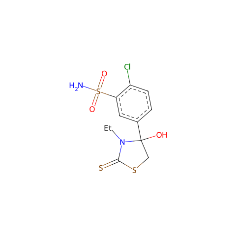 CCN1C(=S)SCC1(O)c1ccc(Cl)c(S(N)(=O)=O)c1